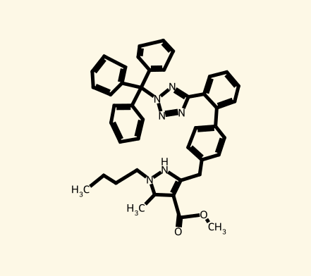 CCCCN1NC(Cc2ccc(-c3ccccc3-c3nnn(C(c4ccccc4)(c4ccccc4)c4ccccc4)n3)cc2)=C(C(=O)OC)C1C